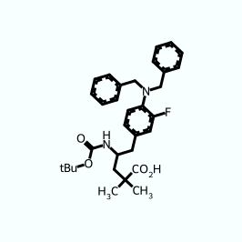 CC(C)(C)OC(=O)NC(Cc1ccc(N(Cc2ccccc2)Cc2ccccc2)c(F)c1)CC(C)(C)C(=O)O